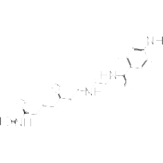 Nc1ccc(C(=O)NCCNCCC(=O)CCCC(=O)NO)cc1